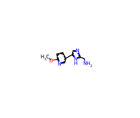 COc1ccc(-c2cnc(CN)[nH]2)cn1